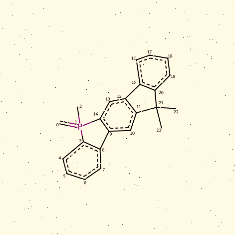 C=P1(C)c2ccccc2-c2cc3c(cc21)-c1ccccc1C3(C)C